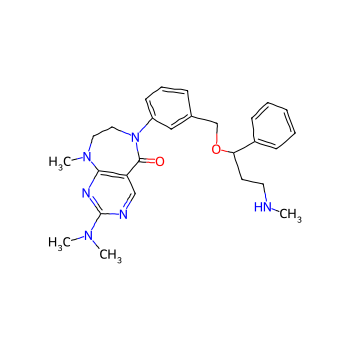 CNCCC(OCc1cccc(N2CCN(C)c3nc(N(C)C)ncc3C2=O)c1)c1ccccc1